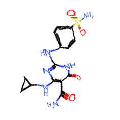 NC(=O)c1c(NC2CC2)nc(Nc2ccc(S(N)(=O)=O)cc2)[nH]c1=O